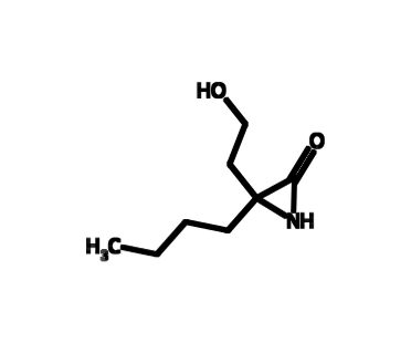 CCCCC1(CCO)NC1=O